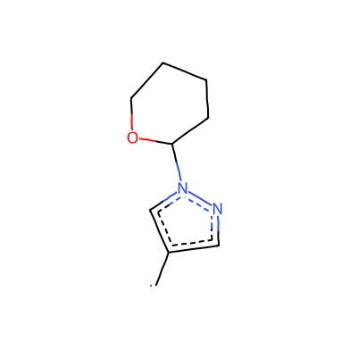 [CH2]c1cnn(C2CCCCO2)c1